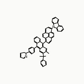 Cc1cc2c(-c3ccc4ccc5c(-n6c7ccccc7c7ccccc76)ccc6ccc3c4c65)c3ccccc3c(-c3ccc(C4CC=CC=N4)cc3)c2cc1C(C)(C)c1ccccc1